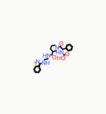 O=C(O)NC(C(=O)N1CCCC(C(=O)NCCNc2nsc3ccccc23)C1)c1ccccc1